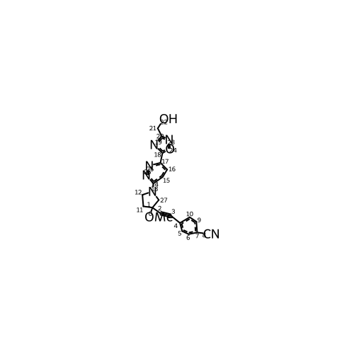 COC1(C#Cc2ccc(C#N)cc2)CCN(c2ccc(-c3nc(CO)no3)nn2)C1